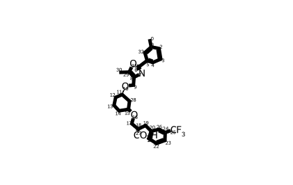 Cc1cccc(-c2nc(CO[C@H]3CCCC(OCC(Cc4cccc(C(F)(F)F)c4)C(=O)O)C3)c(C)o2)c1